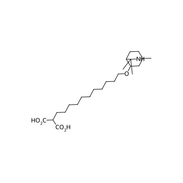 CC12CCC(C(OCCCCCCCCCCCC(C(=O)O)C(=O)O)C1)C(C)(C)N2